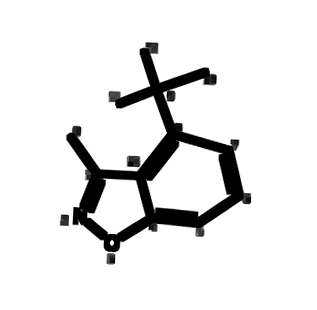 Cc1noc2cccc(C(C)(C)C)c12